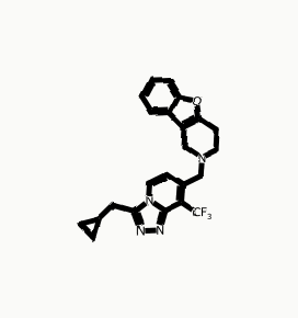 FC(F)(F)c1c(CN2CCc3oc4ccccc4c3C2)ccn2c(CC3CC3)nnc12